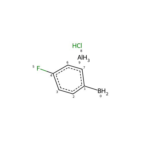 Bc1ccc(F)cc1.Cl.[AlH3]